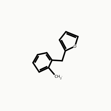 [CH2]c1ccccc1Cc1ccco1